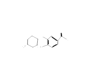 NC(=O)c1ccc(N[C@H]2CCC[C@H](N)C2)c(Cl)c1